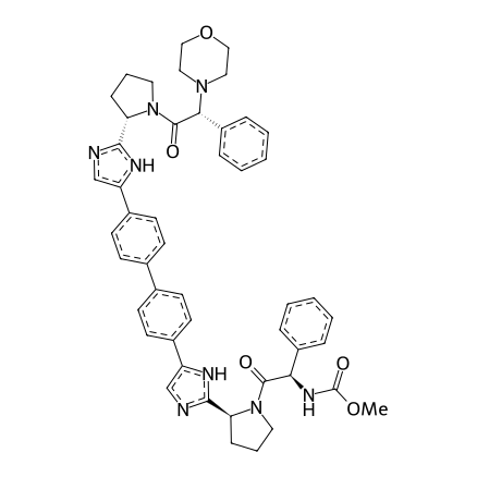 COC(=O)N[C@@H](C(=O)N1CCC[C@H]1c1ncc(-c2ccc(-c3ccc(-c4cnc([C@@H]5CCCN5C(=O)[C@@H](c5ccccc5)N5CCOCC5)[nH]4)cc3)cc2)[nH]1)c1ccccc1